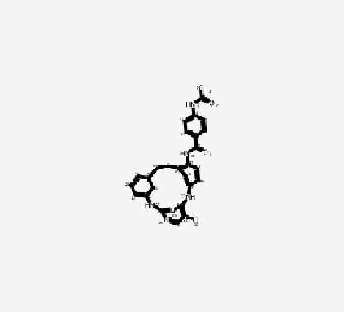 CC(=O)Nc1ccc(C(=O)Nc2ccc3cc2CCC2C=CC=C(C2)Nc2ncc(Cl)c(n2)N3)cc1